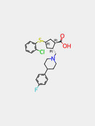 O=C(O)[C@@H]1C[C@H](Sc2ccccc2Cl)C[C@H]1CN1CCC(c2ccc(F)cc2)CC1